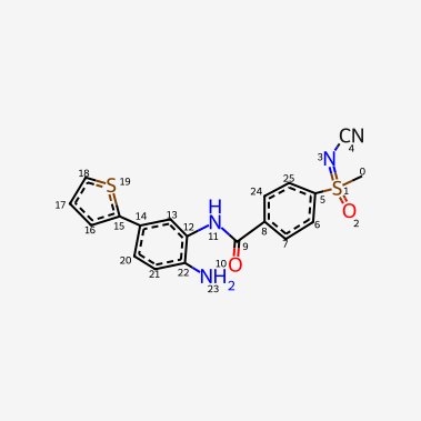 CS(=O)(=NC#N)c1ccc(C(=O)Nc2cc(-c3cccs3)ccc2N)cc1